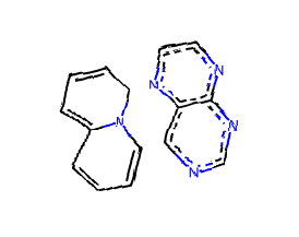 C1=CCN2C=CC=CC2=C1.c1cnc2ncncc2n1